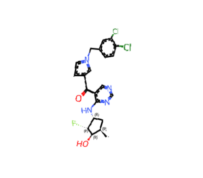 [CH2][C@@H]1C[C@@H](Nc2ncncc2C(=O)c2ccn(Cc3ccc(Cl)c(Cl)c3)c2)[C@@H](F)[C@@H]1O